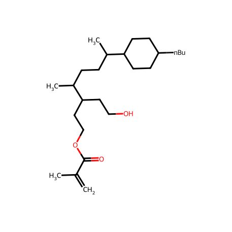 C=C(C)C(=O)OCCC(CCO)C(C)CCC(C)C1CCC(CCCC)CC1